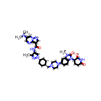 Cc1nn([C@H]2CC[C@H](CN3CCN(c4ccc5c(c4)n(C)c(=O)n5C4CCC(=O)NC4=O)CC3)CC2)cc1NC(=O)c1cnn2cc(N(C)C)cnc12